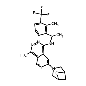 Cc1c(C(C)Nc2nnc(C)c3cnc(N4CC5CC(C4)O5)cc23)cccc1C(F)(F)F